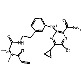 C=CC(=O)N(C)[C@H](C)C(=O)NCCc1cccc(Nc2nc(C3CC3)c(CC)nc2C(N)=O)c1